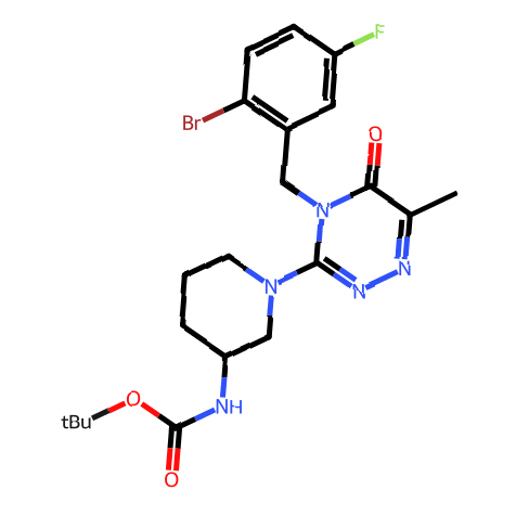 Cc1nnc(N2CCCC(NC(=O)OC(C)(C)C)C2)n(Cc2cc(F)ccc2Br)c1=O